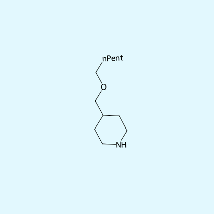 CCCCCCOCC1CCNCC1